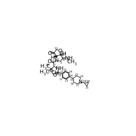 CN[C@H]1CN(C(=O)C(NC(=O)c2ccc(C3CCN(C4CC4)CC3)cc2)C(C)(C)C)[C@@H]2C(=O)CO[C@H]12